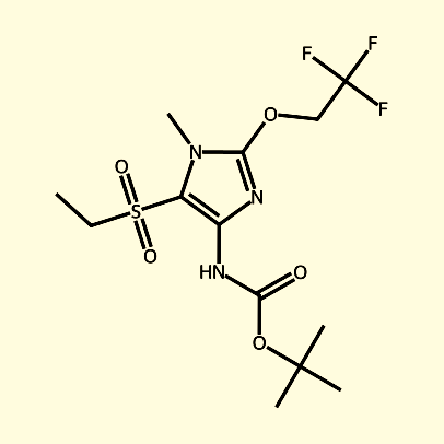 CCS(=O)(=O)c1c(NC(=O)OC(C)(C)C)nc(OCC(F)(F)F)n1C